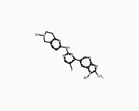 CCN1CCc2nc(Nc3ncc(F)c(-c4cnc5nc(C)n(C(C)C)c5c4)n3)ccc2C1